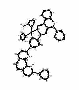 C1=c2c(-c3ccccc3)nc3ccccc3c2=CC2C1c1ccc(-c3ccc4ccc5ccc(-c6ccccc6)nc5c4n3)cc1C21c2ccccc2Sc2ccccc21